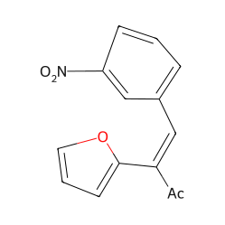 CC(=O)C(=Cc1cccc([N+](=O)[O-])c1)c1ccco1